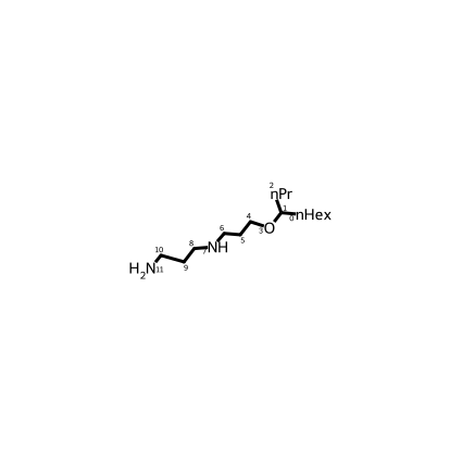 CCCCCCC(CCC)OCCCNCCCN